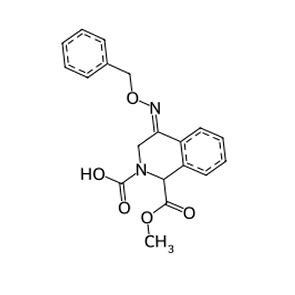 COC(=O)C1c2ccccc2/C(=N/OCc2ccccc2)CN1C(=O)O